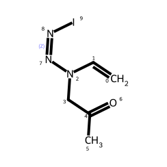 C=CN(CC(C)=O)/N=N\I